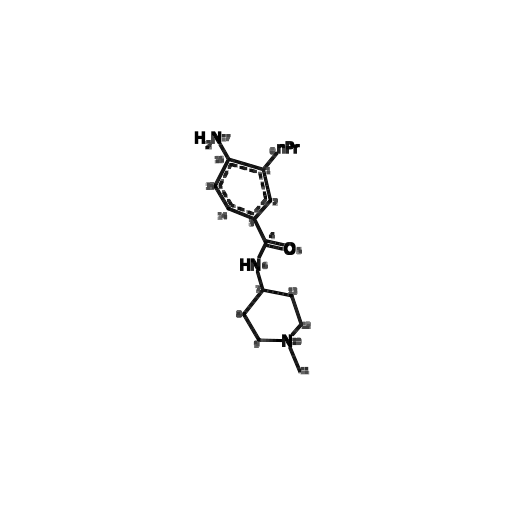 CCCc1cc(C(=O)NC2CCN(C)CC2)ccc1N